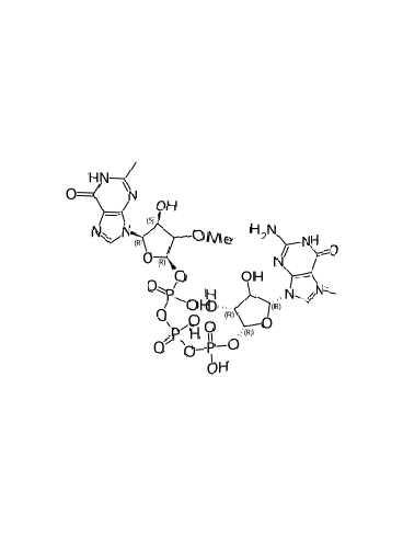 COC1[C@@H](OP(=O)(O)OP(=O)(O)OP(=O)(O)O[C@H]2O[C@@H](n3c[n+](C)c4c(=O)[nH]c(N)nc43)C(O)[C@H]2O)O[C@@H](n2cnc3c(=O)[nH]c(C)nc32)[C@H]1O